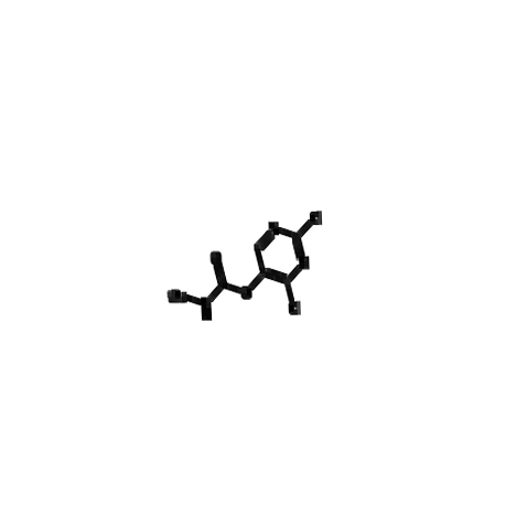 CC(C)(C)NC(=O)Oc1cnc(Cl)nc1Cl